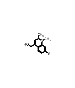 C[C@@H]1C=C(CO)c2ccc(Br)cc2N1C